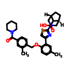 Cc1ccc(OCc2ccc(C(=O)N3CCCCC3)cc2C)c(-c2csc(N3C[C@@H]4CC[C@@H](C3)C4C(=O)O)n2)c1